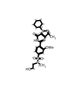 COc1cc(S(=O)(=O)N(C)CCO)ccc1-c1nc2c(C)nn(C3CCCCC3)c2c(=O)[nH]1